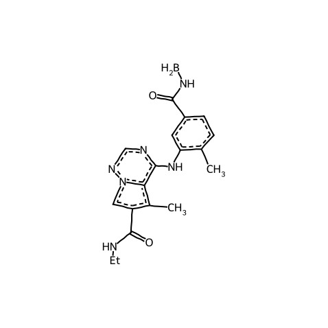 BNC(=O)c1ccc(C)c(Nc2ncnn3cc(C(=O)NCC)c(C)c23)c1